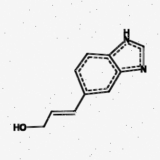 OCC=Cc1ccc2[nH]cnc2c1